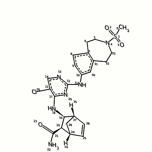 CS(=O)(=O)N1CCc2ccc(Nc3ncc(Cl)c(N[C@@H]4[C@H](C(N)=O)[C@H]5C=C[C@@H]4C5)n3)cc2CC1